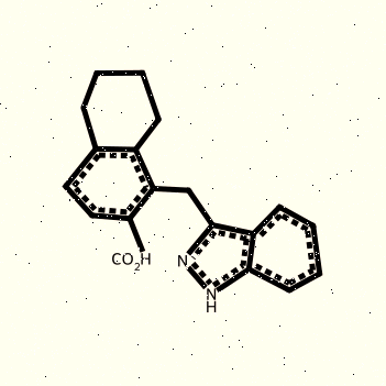 O=C(O)c1ccc2c(c1Cc1n[nH]c3ccccc13)CCCC2